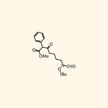 COC(=O)C(C(=O)CCCCN(C=O)OC(C)(C)C)c1ccccc1